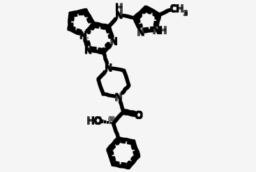 Cc1cc(Nc2nc(N3CCN(C(=O)[C@@H](O)c4ccccc4)CC3)nn3cccc23)n[nH]1